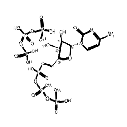 Nc1ccn([C@@H]2O[C@H](COP(=O)(O)OP(=O)(O)OP(=O)(O)O)[C@@H](O)[C@H]2O)c(=O)n1.O=P(O)(O)OP(=O)(O)OP(=O)(O)O